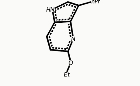 CCCc1c[nH]c2ccc(OCC)nc12